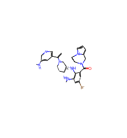 C=C(c1cncc(NC)c1)N1CCC[C@@H](Nc2c(NC)cc(Br)cc2C(=O)N2CCn3cccc3C2)C1